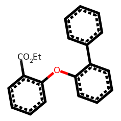 CCOC(=O)c1ccccc1Oc1ccccc1-c1ccccc1